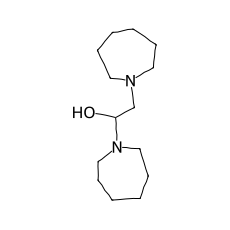 OC(CN1CCCCCC1)N1CCCCCC1